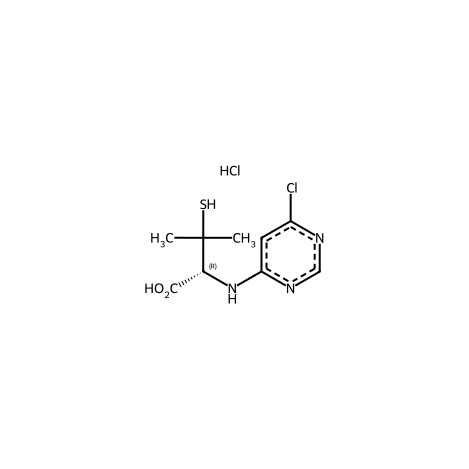 CC(C)(S)[C@H](Nc1cc(Cl)ncn1)C(=O)O.Cl